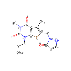 COCCn1c(=O)n(C(C)C)c(=O)c2c(C)c(Cn3[nH]ccc3=O)sc21